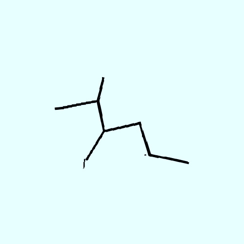 C[CH]CC(I)C(C)C